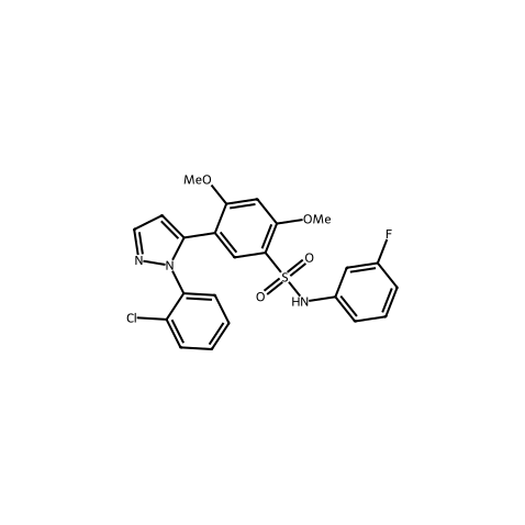 COc1cc(OC)c(S(=O)(=O)Nc2cccc(F)c2)cc1-c1ccnn1-c1ccccc1Cl